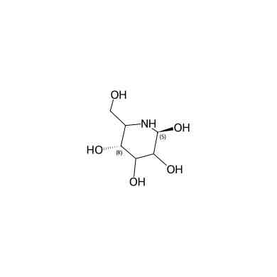 OCC1N[C@@H](O)C(O)C(O)[C@@H]1O